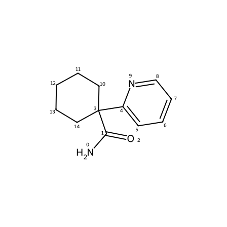 NC(=O)C1(c2ccccn2)CCCCC1